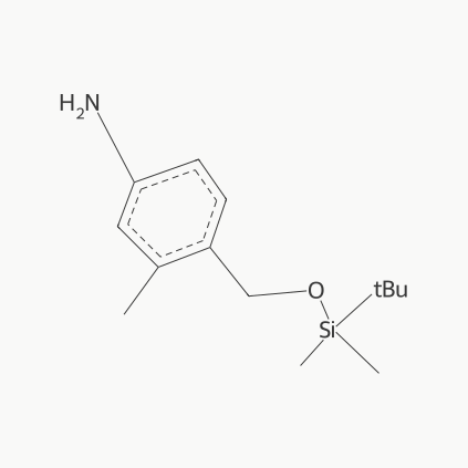 Cc1cc(N)ccc1CO[Si](C)(C)C(C)(C)C